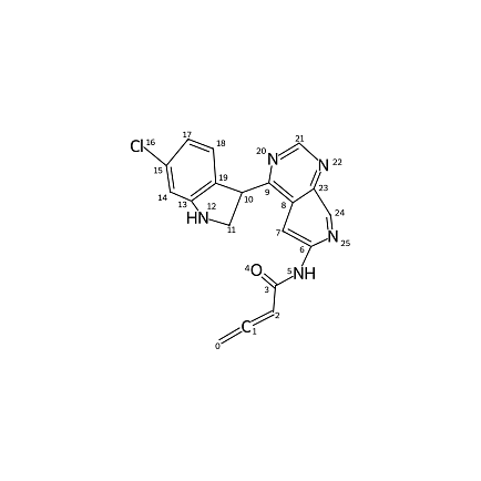 C=C=CC(=O)Nc1cc2c(C3CNc4cc(Cl)ccc43)ncnc2cn1